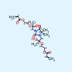 C=CC(=O)OCCOC(C)(O)CN1C(=O)N(CC(C)(O)OCCOC(=O)C=C)C(C)(C)C1=O